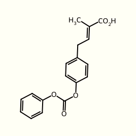 CC(=CCc1ccc(OC(=O)Oc2ccccc2)cc1)C(=O)O